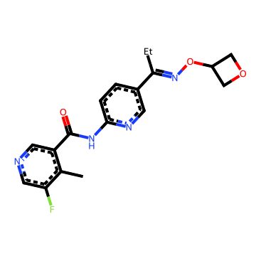 CC/C(=N\OC1COC1)c1ccc(NC(=O)c2cncc(F)c2C)nc1